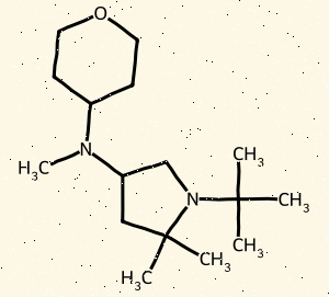 CN(C1CCOCC1)C1CN(C(C)(C)C)C(C)(C)C1